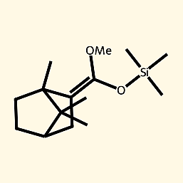 CO/C(O[Si](C)(C)C)=C1/CC2CCC1(C)C2(C)C